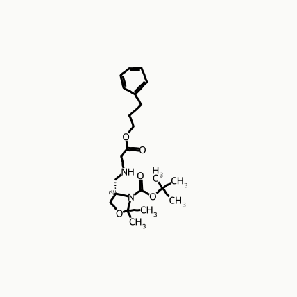 CC(C)(C)OC(=O)N1[C@@H](CNCC(=O)OCCCc2ccccc2)COC1(C)C